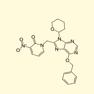 O=c1c([N+](=O)[O-])cccn1Cc1nc2c(OCc3ccccc3)ncnc2n1C1CCCCO1